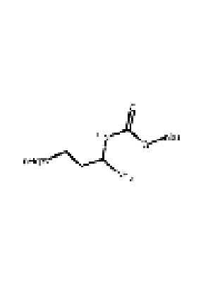 CCCCCCCCCC(N)NC(=O)OCCCC